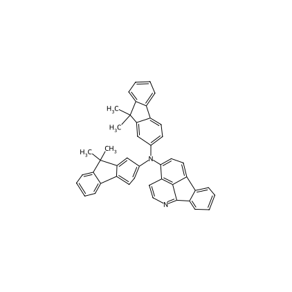 CC1(C)c2ccccc2-c2ccc(N(c3ccc4c(c3)C(C)(C)c3ccccc3-4)c3ccc4c5c(nccc35)-c3ccccc3-4)cc21